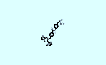 CCCN(CCC)Cc1ccc(NC(=O)c2ccc(CN(Cc3nccn3C)Cc3nccn3C)cc2)cc1